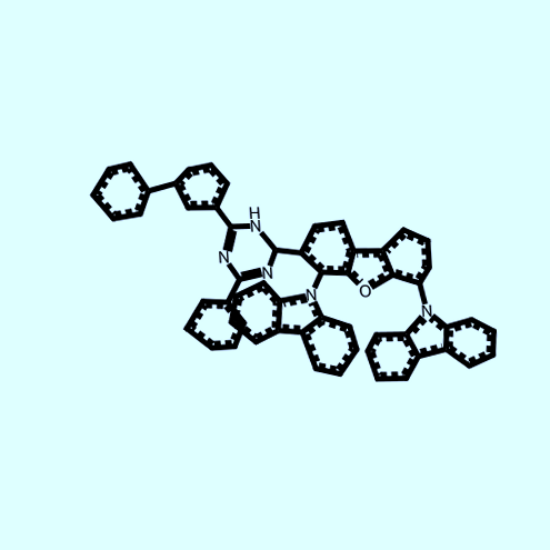 c1ccc(C2=NC(c3ccc4c(oc5c(-n6c7ccccc7c7ccccc76)cccc54)c3-n3c4ccccc4c4ccccc43)NC(c3cccc(-c4ccccc4)c3)=N2)cc1